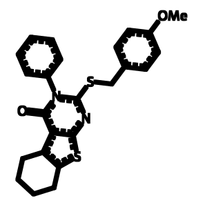 COc1ccc(CSc2nc3sc4c(c3c(=O)n2-c2ccccc2)CCCC4)cc1